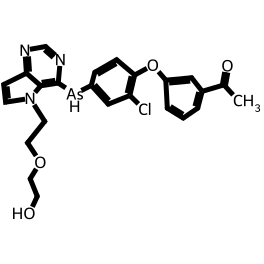 CC(=O)c1cccc(Oc2ccc([AsH]c3ncnc4ccn(CCOCCO)c34)cc2Cl)c1